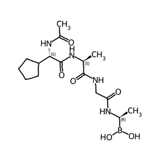 CC(=O)N[C@H](C(=O)N[C@@H](C)C(=O)NCC(=O)N[C@@H](C)B(O)O)C1CCCC1